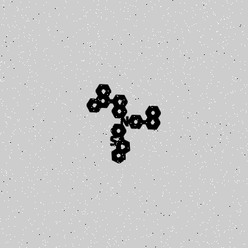 c1ccc2c(-c3ccc(N(c4ccc5c(-c6cc7ccccc7c7ccccc67)cccc5c4)c4ccc5sc6c7ccccc7ccc6c5c4)cc3)cccc2c1